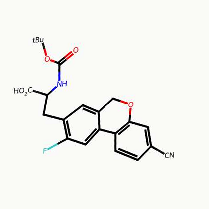 CC(C)(C)OC(=O)NC(Cc1cc2c(cc1F)-c1ccc(C#N)cc1OC2)C(=O)O